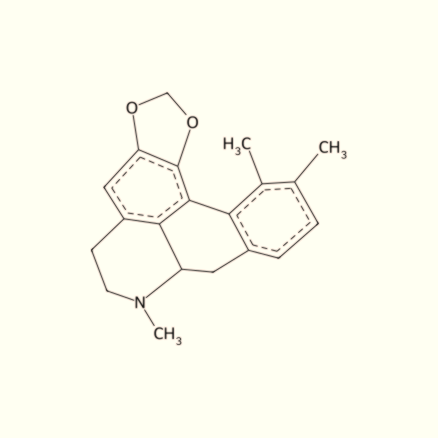 Cc1ccc2c(c1C)-c1c3c(cc4c1C(C2)N(C)CC4)OCO3